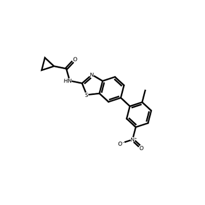 Cc1ccc([N+](=O)[O-])cc1-c1ccc2nc(NC(=O)C3CC3)sc2c1